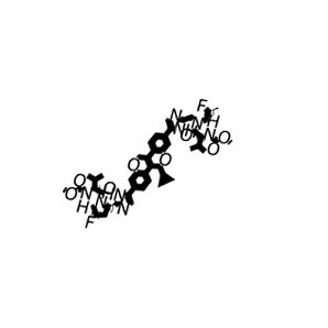 COC(=O)N[C@H](C(=O)N(Cc1ncc(-c2ccc3c(c2)OC(C2CC2)C2=C3COc3cc(-c4cnc([C@@H]5C[C@@H](F)CN5C(=O)[C@@H](NC(=O)OC)C(C)C)[nH]4)ccc32)[nH]1)C[C@@H](C)F)C(C)C